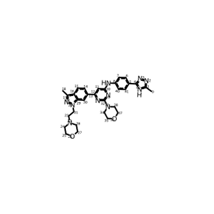 Cc1nnc(-c2ccc(Nc3cc(-c4ccc5c(C)nn(CCN6CCOCC6)c5c4)nc(N4CCOCC4)n3)cc2)[nH]1